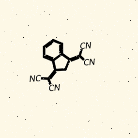 N#CC(C#N)=C1CC(=C(C#N)C#N)c2ccccc21